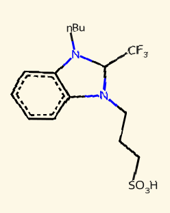 CCCCN1c2ccccc2N(CCCS(=O)(=O)O)C1C(F)(F)F